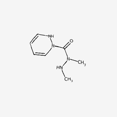 CNN(C)C(=O)N1C=CC=CN1